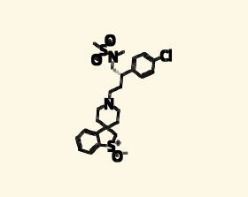 CN(C[C@@H](CCN1CCC2(CC1)C[S+]([O-])c1ccccc12)c1ccc(Cl)cc1)S(C)(=O)=O